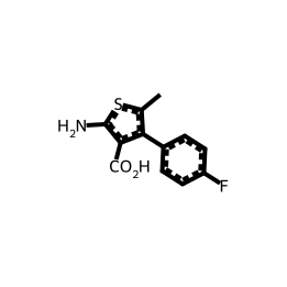 Cc1sc(N)c(C(=O)O)c1-c1ccc(F)cc1